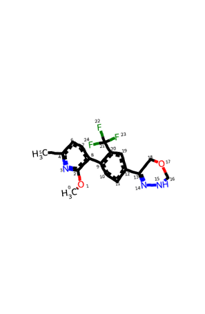 COc1nc(C)ccc1-c1ccc(C2=NNCOC2)cc1C(F)(F)F